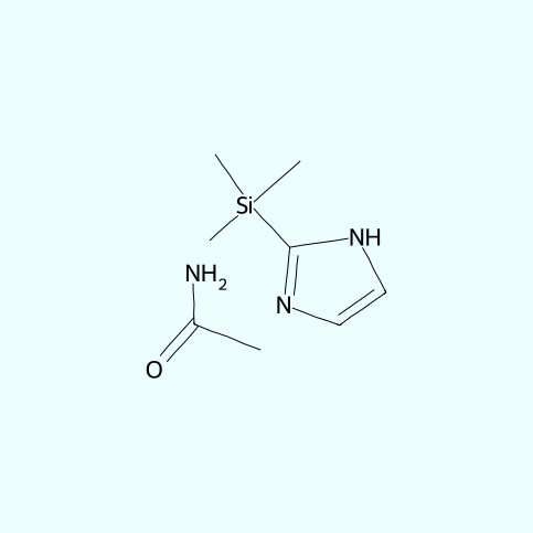 CC(N)=O.C[Si](C)(C)c1ncc[nH]1